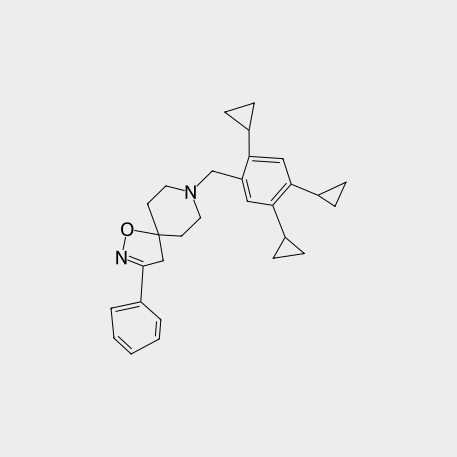 c1ccc(C2=NOC3(CCN(Cc4cc(C5CC5)c(C5CC5)cc4C4CC4)CC3)C2)cc1